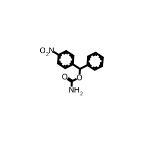 NC(=O)OC(c1ccccc1)c1ccc([N+](=O)[O-])cc1